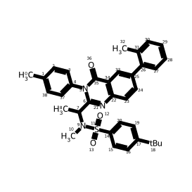 Cc1ccc(-n2c(C(C)N(C)S(=O)(=O)c3ccc(C(C)(C)C)cc3)nc3ccc(-c4ccccc4C)cc3c2=O)cc1